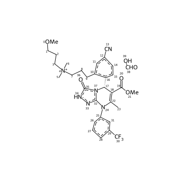 COCCC[N+](C)(C)CCCc1cc(C#N)ccc1[C@@H]1C(C(=O)OC)=C(C)N(c2cccc(C(F)(F)F)c2)c2n[nH]c(=O)n21.O=CO